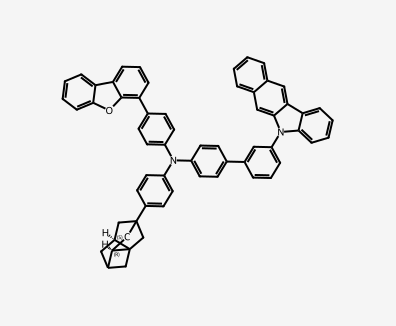 c1cc(-c2ccc(N(c3ccc(-c4cccc5c4oc4ccccc45)cc3)c3ccc(C45C[C@@H]6CC7CC6(C4)[C@@H]7C5)cc3)cc2)cc(-n2c3ccccc3c3cc4ccccc4cc32)c1